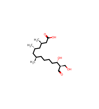 C[C@@H](C[C@H](C)CCCC[C@H](O)[C@H](C=O)CO)C[C@@H](C)CC(=O)O